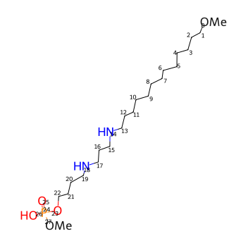 COCCCCCCCCCCCCCNCCCNCCCCOP(=O)(O)OC